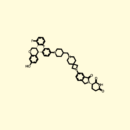 O=C1CC[C@H](N2Cc3ccc(N4CC5(CCN(CC6CCN(c7ccc([C@@H]8c9ccc(O)cc9OC[C@@H]8c8c(F)cccc8F)cc7)CC6)CC5)C4)cc3C2=O)C(=O)N1